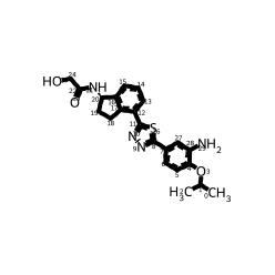 CC(C)Oc1ccc(-c2nnc(-c3cccc4c3CC[C@@H]4NC(=O)CO)s2)cc1N